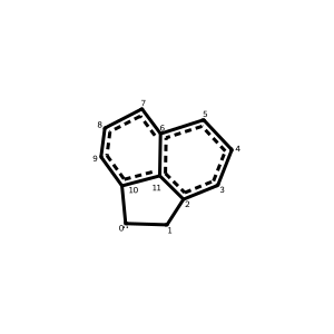 [C]1Cc2cccc3cccc1c23